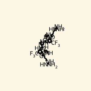 N=C(N)NCCCCC(=O)Nc1cc(C(F)(F)F)cc(NC(=O)c2cc(C(=O)Nc3cc(C(F)(F)F)cc(NC(=O)CCCCNC(=N)N)c3S[C@H]3CCNC3)ncn2)c1S[C@H]1CCNC1